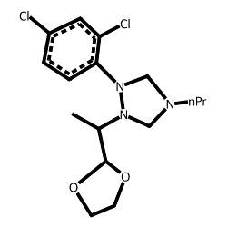 CCCN1CN(c2ccc(Cl)cc2Cl)N(C(C)C2OCCO2)C1